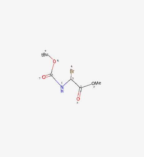 COC(=O)C(Br)NC(=O)OC(C)(C)C